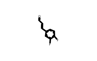 O=C/C=C/c1ccc(F)c(F)c1